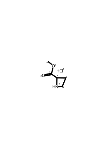 COC(=O)C1CCN1.Cl